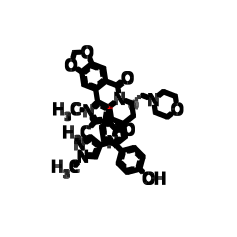 Cc1c(C(=O)N(c2ccc(O)cc2)c2cnn(C)c2)cc(-c2cc3c(cc2C(=O)N2Cc4ccccc4C[C@H]2CN2CCOCC2)OCO3)n1C